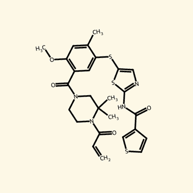 C=CC(=O)N1CCN(C(=O)c2cc(Sc3cnc(NC(=O)c4ccsc4)s3)c(C)cc2OC)CC1(C)C